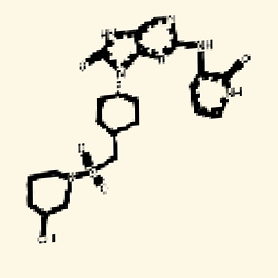 O=c1[nH]cccc1Nc1ncc2[nH]c(=O)n([C@H]3CC[C@H](CS(=O)(=O)N4CCCC(O)C4)CC3)c2n1